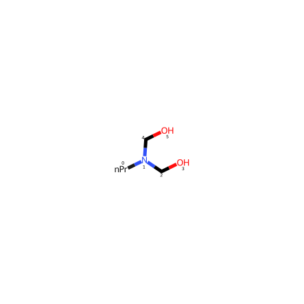 CCCN(CO)CO